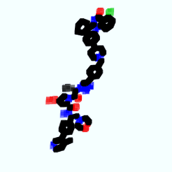 Cc1ccncc1-c1ccc([C@H](CN2CCOCC2)NC(=O)[C@@H]2C[C@@H](O)CN2C(=O)[C@@H](n2cc(C3CCC(CN4CCC(c5ccc6c(c5)-n5c(nc(=O)c7c(Cl)cccc75)C65CCCCC5)CC4)CC3)nn2)C(C)(C)C)cc1